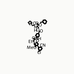 CCC(C(=O)Nc1ccc(C(=O)OCC(NC(=O)CN2CCCC2)C(=O)OCc2ccccc2)cc1)n1cc(OC)c(-c2cc(Cl)ccc2C#N)cc1=O